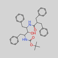 CC(C)(C)OC(=O)NC(Cc1ccccc1)C(O)C(Cc1ccccc1)NC(=O)C(Cc1ccccc1)Cc1ccccc1